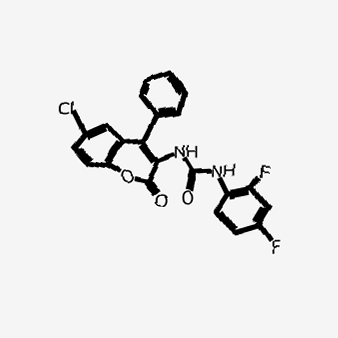 O=C(Nc1ccc(F)cc1F)Nc1c(-c2ccccc2)c2cc(Cl)ccc2oc1=O